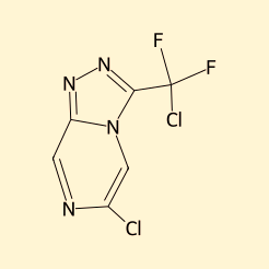 FC(F)(Cl)c1nnc2cnc(Cl)cn12